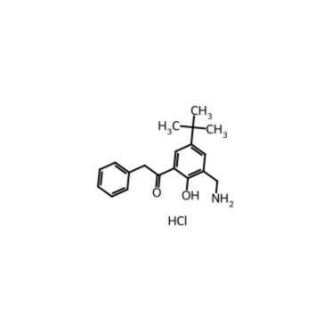 CC(C)(C)c1cc(CN)c(O)c(C(=O)Cc2ccccc2)c1.Cl